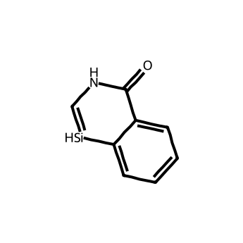 O=c1[nH]c[siH]c2ccccc12